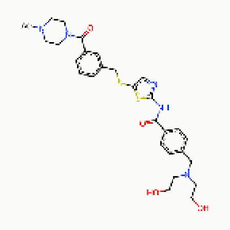 CC(=O)N1CCN(C(=O)c2cccc(CSc3cnc(NC(=O)c4ccc(CN(CCO)CCO)cc4)s3)c2)CC1